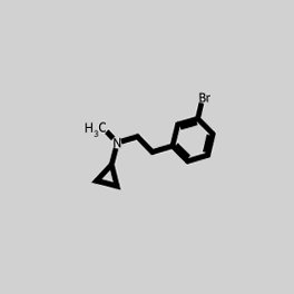 CN(CCc1cccc(Br)c1)C1CC1